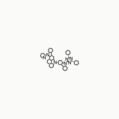 c1ccc(-c2nc(-c3ccccc3)nc(-n3c4ccccc4c4cc(-n5c6cccc7ccc8c(c76)c5cc5c6ccccc6n(-c6ccccn6)c58)ccc43)n2)cc1